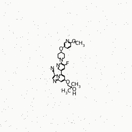 COc1ccc(OC2CCN(c3ncc(-c4cc(OCC(C)(C)O)cc5ncc(C#N)n45)cc3F)CC2)cn1